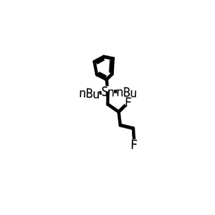 CCC[CH2][Sn]([CH2]CCC)([CH2]C(F)CCF)[c]1ccccc1